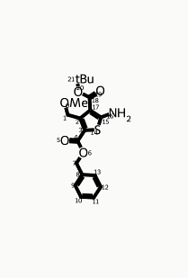 COCc1c(C(=O)OCc2ccccc2)sc(N)c1C(=O)OC(C)(C)C